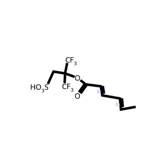 C/C=C/C=C/C(=O)OC(CS(=O)(=O)O)(C(F)(F)F)C(F)(F)F